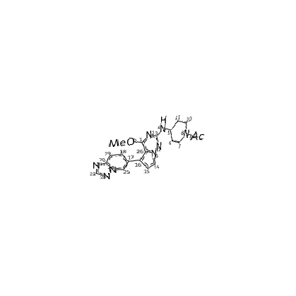 COc1nc(NC2CCN(C(C)=O)CC2)nn2ccc(-c3ccc4ncnn4c3)c12